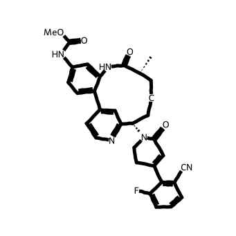 COC(=O)Nc1ccc2c(c1)NC(=O)[C@H](C)CCC[C@H](N1CCC(c3c(F)cccc3C#N)=CC1=O)c1cc-2ccn1